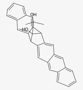 CC(C)(O)C1(O)C2c3cc4ccccc4cc3C1c1cc3cc4ccccc4cc3cc12